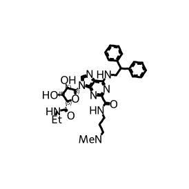 CCNC(=O)[C@H]1O[C@@H](n2cnc3c(NCC(c4ccccc4)c4ccccc4)nc(C(=O)NCCCNC)nc32)[C@@H](O)[C@@H]1O